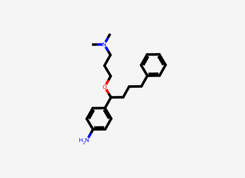 CN(C)CCCOC(CCCc1ccccc1)c1ccc(N)cc1